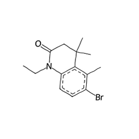 CCN1C(=O)CC(C)(C)c2c1ccc(Br)c2C